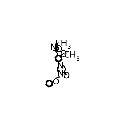 COc1cc(N2CCC(=O)N(CCOc3ccccc3)CC2)ccc1-c1cnc(C)o1